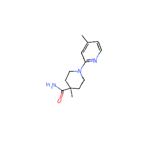 Cc1ccnc(N2CCC(C)(C(N)=O)CC2)c1